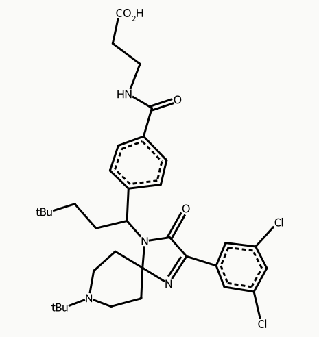 CC(C)(C)CCC(c1ccc(C(=O)NCCC(=O)O)cc1)N1C(=O)C(c2cc(Cl)cc(Cl)c2)=NC12CCN(C(C)(C)C)CC2